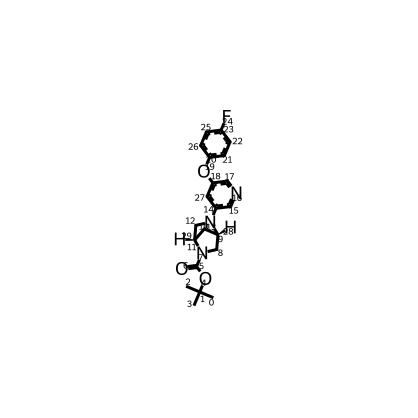 CC(C)(C)OC(=O)N1C[C@@H]2C[C@H]1CN2c1cncc(Oc2ccc(F)cc2)c1